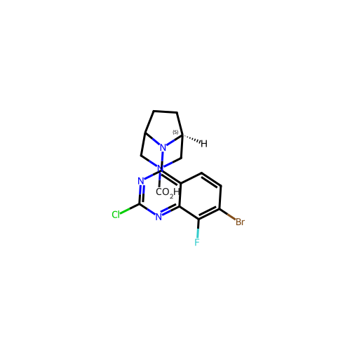 O=C(O)N1CC2CC[C@@H](C1)N2c1nc(Cl)nc2c(F)c(Br)ccc12